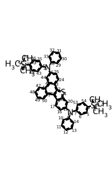 C[Si](C)(C)c1ccc(N(c2ccccc2)c2ccc3c(c2)sc2c4ccc(N(c5ccccc5)c5ccc([Si](C)(C)C)cc5)cc4c4ccccc4c32)cc1